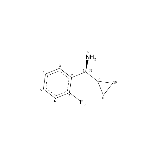 N[C@H](c1ccccc1F)C1CC1